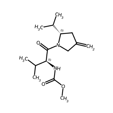 C=C1C[C@@H](C(C)C)N(C(=O)[C@@H](NC(=O)OC)C(C)C)C1